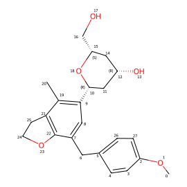 COc1ccc(Cc2cc([C@H]3C[C@@H](O)C[C@@H](CO)O3)c(C)c3c2OCC3)cc1